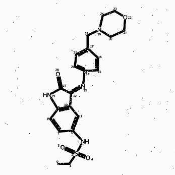 CCS(=O)(=O)Nc1ccc2c(c1)/C(=N/c1ccc(CN3CCOCC3)cc1)C(=O)N2